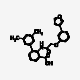 Cc1cc(C)cc(-c2cccc(C(=O)O)c2NC(=O)COc2cccc(-c3ccoc3)c2)c1